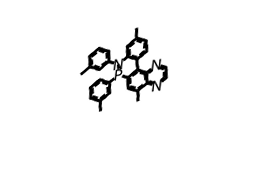 Cc1cccc(N2c3cc(C)ccc3-c3c(cc(C)c4nccnc34)P2c2cccc(C)c2)c1